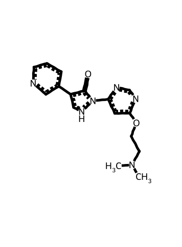 CN(C)CCOc1cc(-n2[nH]cc(-c3cccnc3)c2=O)ncn1